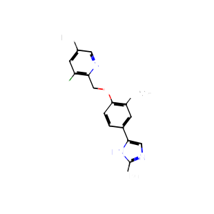 COc1cc(-c2cnc(C(C)(C)C)[nH]2)ccc1OCc1ncc(C(F)(F)F)cc1F